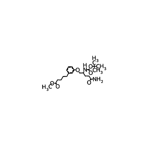 COC(=O)CCCCc1cccc(OCC(CCC(N)=O)NC(=O)OC(C)(C)C)c1